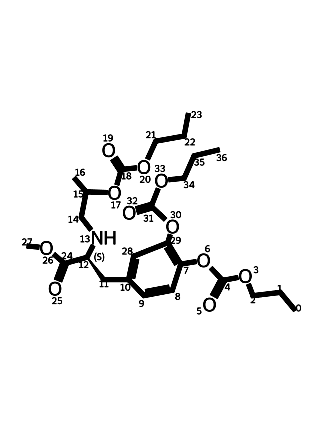 CCCOC(=O)Oc1ccc(C[C@H](NCC(C)OC(=O)OCCC)C(=O)OC)cc1OC(=O)OCCC